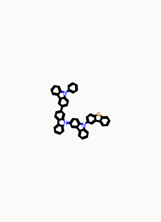 c1ccc(-n2c3ccccc3c3cc(-c4ccc5c6ccccc6n(-c6ccc7c(c6)c6ccccc6n7-c6ccc7sc8ccccc8c7c6)c5c4)ccc32)cc1